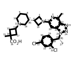 Cc1nc(N2CC([C@H]3CCCN(C4CC(C)(C(=O)O)C4)C3)C2)cc2c1nnn2[C@H](C)c1ccc(Cl)cc1Cl